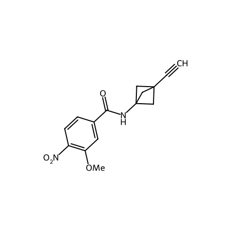 C#CC12CC(NC(=O)c3ccc([N+](=O)[O-])c(OC)c3)(C1)C2